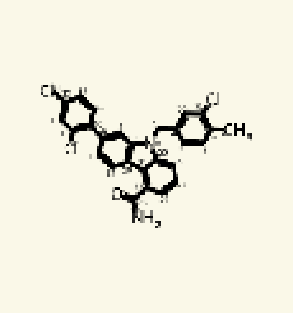 Cc1ccc(Cn2c3cc(-c4ccc(Cl)cc4Cl)c[c]c3c3c(C(N)=O)cccc32)cc1Cl